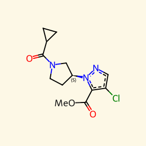 COC(=O)c1c(Cl)cnn1[C@H]1CCN(C(=O)C2CC2)C1